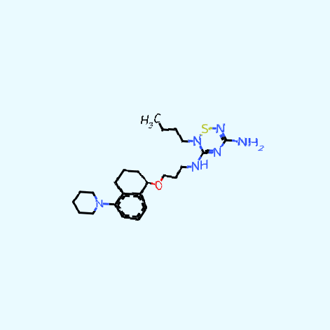 CCCCN1SN=C(N)N=C1NCCCOC1CCCc2c1cccc2N1CCCCC1